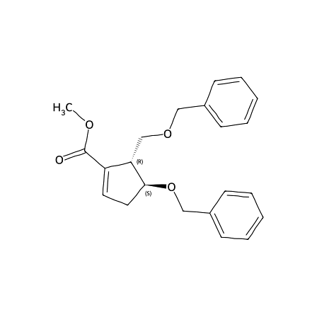 COC(=O)C1=CC[C@H](OCc2ccccc2)[C@H]1COCc1ccccc1